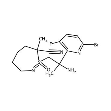 CC(N)(CS1(=O)=NCCCCC1(C)C#N)c1nc(Br)ccc1F